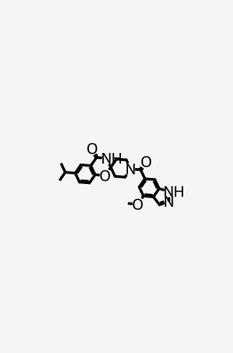 COc1cc(C(=O)N2CCC3(CC2)NC(=O)c2cc(C(C)C)ccc2O3)cc2[nH]ncc12